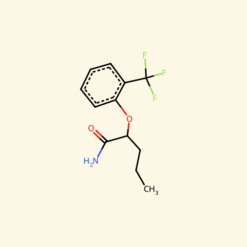 CCCC(Oc1ccccc1C(F)(F)F)C(N)=O